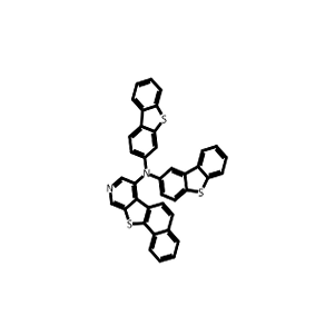 c1ccc2c(c1)ccc1c2sc2cncc(N(c3ccc4c(c3)sc3ccccc34)c3ccc4sc5ccccc5c4c3)c21